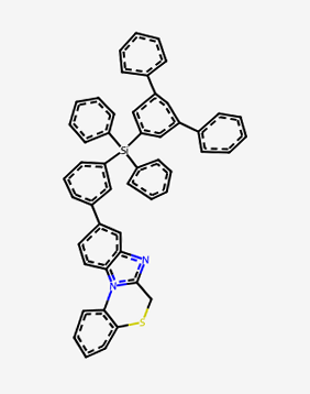 c1ccc(-c2cc(-c3ccccc3)cc([Si](c3ccccc3)(c3ccccc3)c3cccc(-c4ccc5c(c4)nc4n5-c5ccccc5SC4)c3)c2)cc1